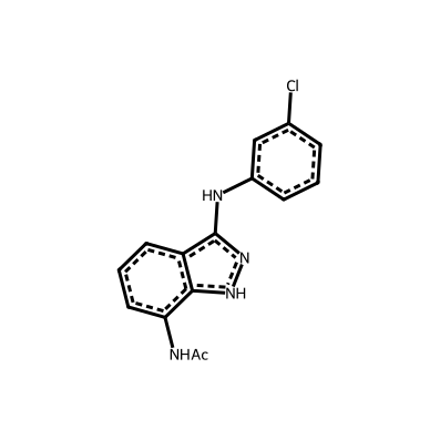 CC(=O)Nc1cccc2c(Nc3cccc(Cl)c3)n[nH]c12